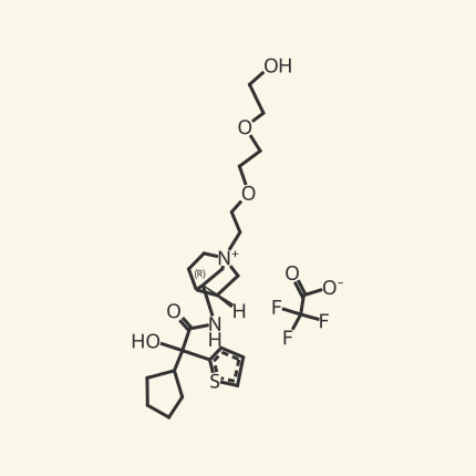 O=C(N[C@H]1C[N+]2(CCOCCOCCO)CCC1CC2)C(O)(c1cccs1)C1CCCC1.O=C([O-])C(F)(F)F